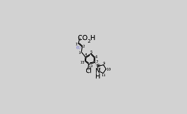 O=C(O)/C=C/Cc1ccc([C@@H]2CCCN2)c(Cl)c1